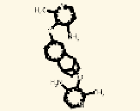 Cc1nccc(N)c1Oc1ccc2c(c1)C1CCC2C1Oc1c(N)ccnc1C